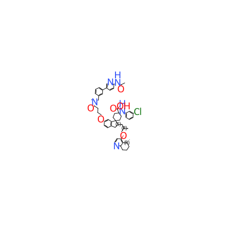 CC(=O)Nc1ccc(-c2cccc(CN(C)C(=O)CCCOc3ccc4c(c3)C3(CCC(Nc5cccc(Cl)c5)(C(=O)O)CC3)[C@@H](C[C@@H](C)COc3ccnc5c3[C@H](C)CCC5)C4)c2)cn1